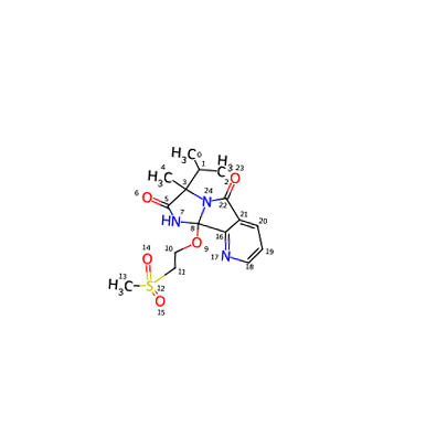 CC(C)C1(C)C(=O)NC2(OCCS(C)(=O)=O)c3ncccc3C(=O)N21